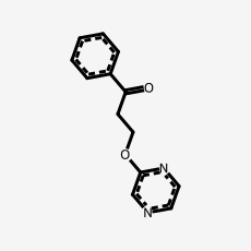 O=C(CCOc1cnccn1)c1ccccc1